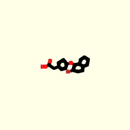 O=C(O)Cc1ccc(Oc2c(Br)ccc3ccccc23)cc1